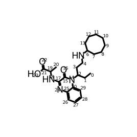 CCC(CCNC1CCCCCCC1)n1c(=O)c(NC(C)C(=O)O)nc2ccccc21